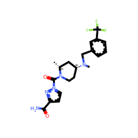 C[C@@H]1C[C@H](N(C)Cc2cccc(C(F)(F)F)c2)CCN1C(=O)n1ccc(C(N)=O)n1